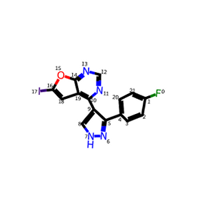 Fc1ccc(-c2n[nH]cc2-c2ncnc3oc(I)cc23)cc1